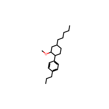 CCCCCC1CCC(c2ccc(CCC)cc2)C(OC)C1